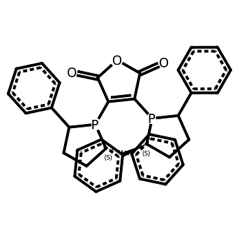 O=C1OC(=O)C(P2C(c3ccccc3)CC[C@H]2c2ccccc2)=C1P1C(c2ccccc2)CC[C@H]1c1ccccc1